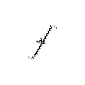 CCCCCCCCCCCCN(CCCCCCCCCCCC)C(=S)S.[Ni]